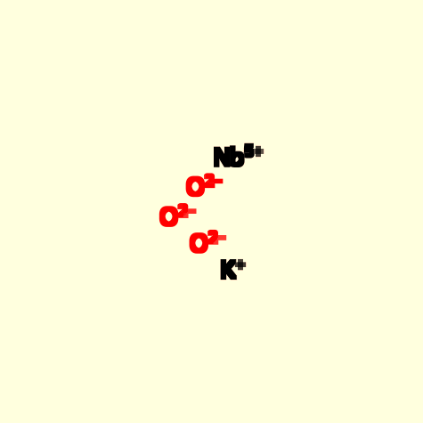 [K+].[Nb+5].[O-2].[O-2].[O-2]